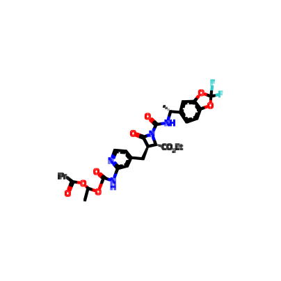 CCOC(=O)[C@@H]1[C@@H](Cc2ccnc(NC(=O)OC(C)OC(=O)C(C)C)c2)C(=O)N1C(=O)N[C@H](C)c1ccc2c(c1)OC(F)(F)O2